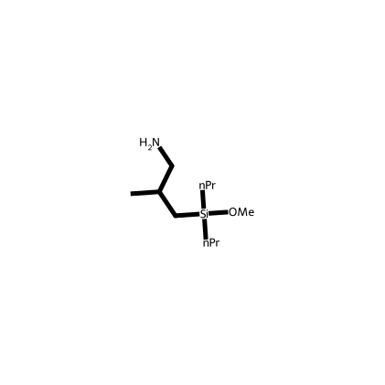 CCC[Si](CCC)(CC(C)CN)OC